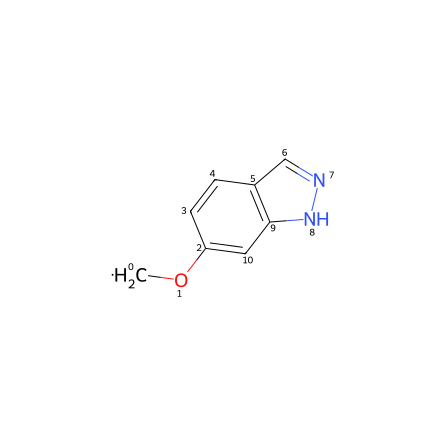 [CH2]Oc1ccc2cn[nH]c2c1